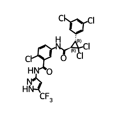 O=C(Nc1cc(C(F)(F)F)[nH]n1)c1cc(NC(=O)[C@H]2[C@H](c3cc(Cl)cc(Cl)c3)C2(Cl)Cl)ccc1Cl